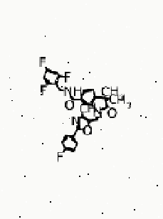 Cc1nc(-c2ccc(F)cc2)oc1CN1C(=O)C(C)(C)c2ccc(C(=O)NCc3c(F)cc(F)cc3F)cc21